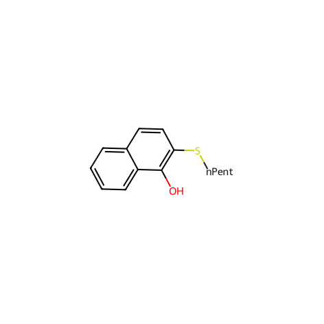 CCCCCSc1ccc2ccccc2c1O